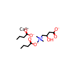 CCCC(=O)[O-].CCCC(=O)[O-].C[N+](C)(C)CC(O)CC(=O)[O-].[Ca+2]